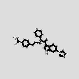 NC(=O)c1ccc(CCN[C@@H](C(=O)c2c[nH]c3cc(-n4ccnc4)ccc23)c2ccccc2)cc1